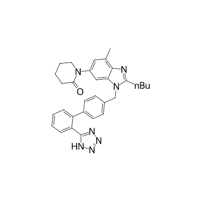 CCCCc1nc2c(C)cc(N3CCCCC3=O)cc2n1Cc1ccc(-c2ccccc2-c2nnn[nH]2)cc1